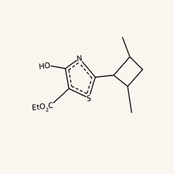 CCOC(=O)c1sc(C2C(C)CC2C)nc1O